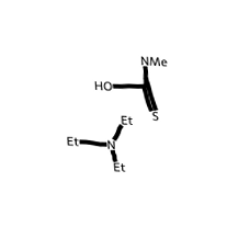 CCN(CC)CC.CNC(O)=S